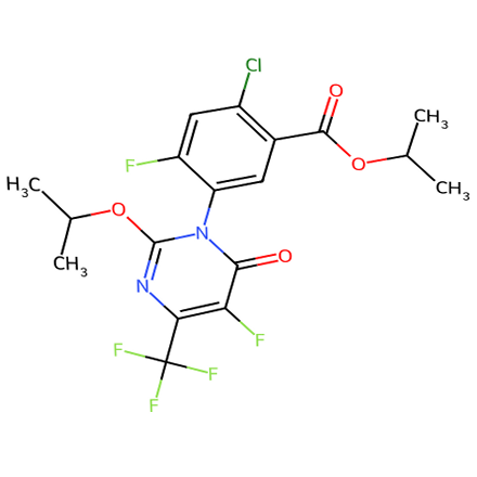 CC(C)OC(=O)c1cc(-n2c(OC(C)C)nc(C(F)(F)F)c(F)c2=O)c(F)cc1Cl